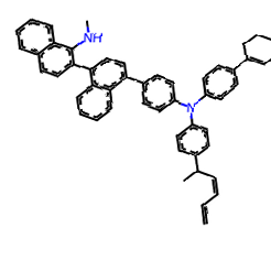 C=C/C=C\C(C)c1ccc(N(c2ccc(C3=CCCCC3)cc2)c2ccc(-c3ccc(-c4ccc5ccccc5c4NC)c4ccccc34)cc2)cc1